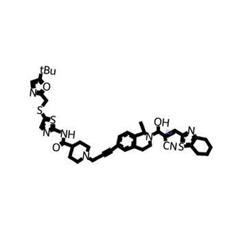 CC1c2ccc(C#CCN3CCC(C(=O)Nc4ncc(SCc5ncc(C(C)(C)C)o5)s4)CC3)cc2CCN1C(O)/C(C#N)=C/c1nc2c(s1)CCCC2